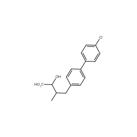 CC(Cc1ccc(-c2ccc(Cl)cc2)cc1)C(O)C(=O)O